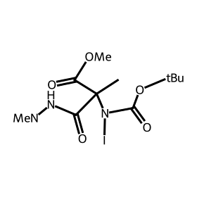 CNNC(=O)C(C)(C(=O)OC)N(I)C(=O)OC(C)(C)C